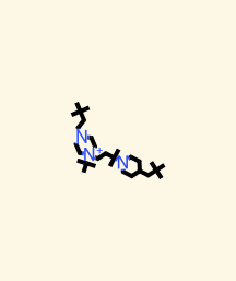 CC(C)(C)CCN1CC[N+](CCC(C)(C)N2CCC(CC(C)(C)C)CC2)(C(C)(C)C)CC1